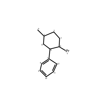 CC1CCC(C(C)C)[C](c2ccccc2)C1